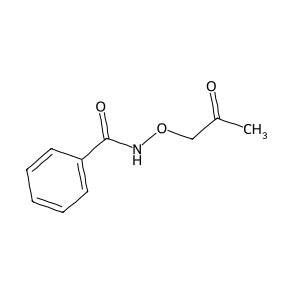 CC(=O)CONC(=O)c1ccccc1